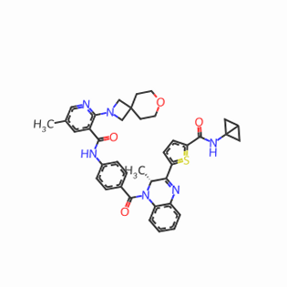 Cc1cnc(N2CC3(CCOCC3)C2)c(C(=O)Nc2ccc(C(=O)N3c4ccccc4N=C(c4ccc(C(=O)NC56CC5C6)s4)[C@H]3C)cc2)c1